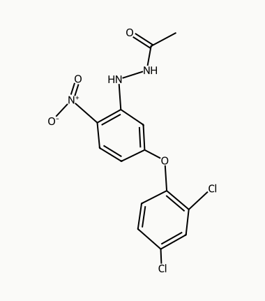 CC(=O)NNc1cc(Oc2ccc(Cl)cc2Cl)ccc1[N+](=O)[O-]